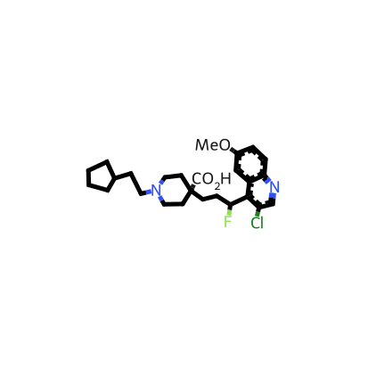 COc1ccc2ncc(Cl)c(C(F)CCC3(C(=O)O)CCN(CCC4CCCC4)CC3)c2c1